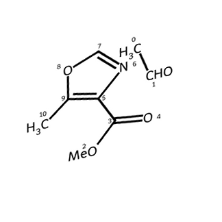 CC=O.COC(=O)c1ncoc1C